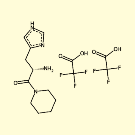 N[C@@H](Cc1c[nH]cn1)C(=O)N1CCCCC1.O=C(O)C(F)(F)F.O=C(O)C(F)(F)F